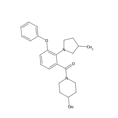 CC1CCN(c2c(Oc3ccccc3)cccc2C(=O)N2CCC(O)CC2)C1